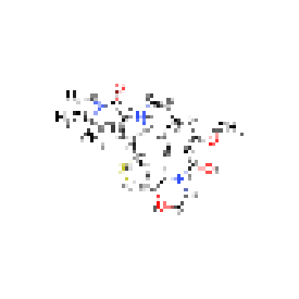 COC1=C(C(=O)N2CCOCC2)CC2C(=C1)C=Cn1c(C(=O)N(C)C(C)(C)C)cc(-c3cccs3)c12